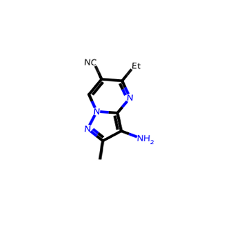 CCc1nc2c(N)c(C)nn2cc1C#N